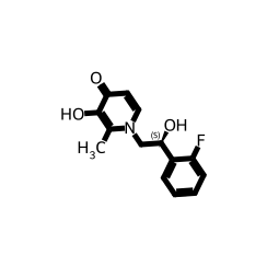 Cc1c(O)c(=O)ccn1C[C@@H](O)c1ccccc1F